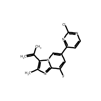 C=C(C)c1c(C)nc2c(F)cc(-c3ccnc(Cl)n3)cn12